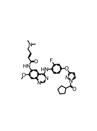 COc1cc2ncnc(Nc3ccc(Oc4ccn(C(=O)C5CCCC5)n4)cc3F)c2cc1NC(=O)/C=C/CN(C)C